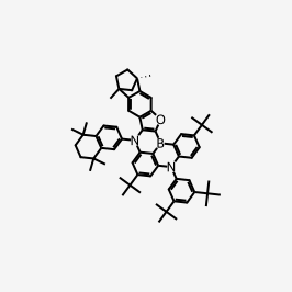 CC(C)(C)c1cc(N2c3ccc(C(C)(C)C)cc3B3c4oc5cc6c(cc5c4N(c4ccc5c(c4)C(C)(C)CCC5(C)C)c4cc(C(C)(C)C)cc2c43)C2(C)CC[C@]6(C)C2)cc(C(C)(C)C)c1